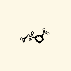 O=[N+]([O-])c1cccc(S(=O)(=O)OC2CO2)c1